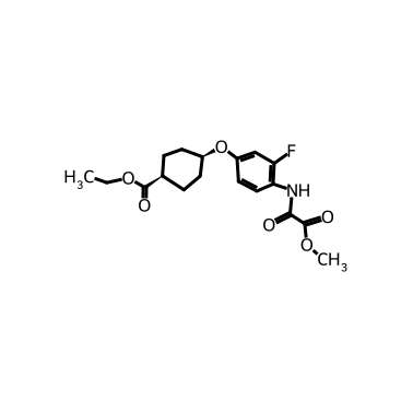 CCOC(=O)[C@H]1CC[C@@H](Oc2ccc(NC(=O)C(=O)OC)c(F)c2)CC1